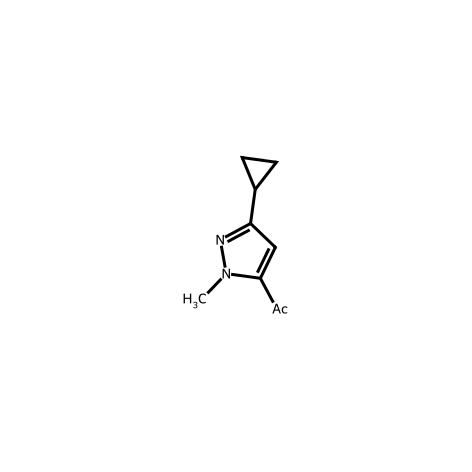 CC(=O)c1cc(C2CC2)nn1C